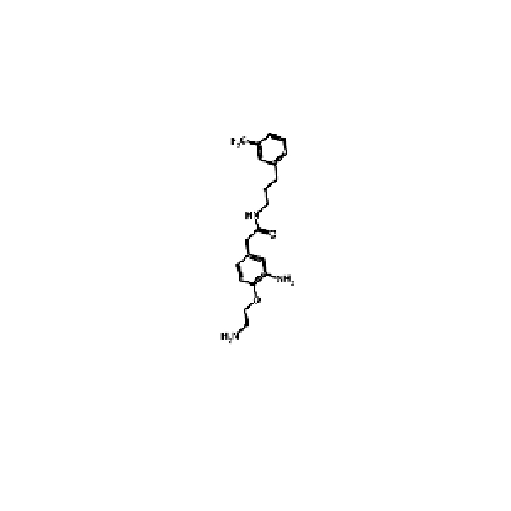 NCCOc1ccc(CC(=O)NCCCc2cccc(C(F)(F)F)c2)cc1N